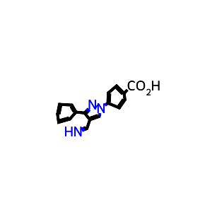 N=Cc1cn(-c2ccc(C(=O)O)cc2)nc1-c1ccccc1